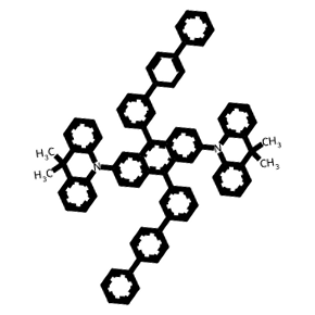 CC1(C)c2ccccc2N(c2ccc3c(-c4cccc(C5C=CC(c6ccccc6)=CC5)c4)c4cc(N5c6ccccc6C(C)(C)c6ccccc65)ccc4c(-c4cccc(-c5ccc(-c6ccccc6)cc5)c4)c3c2)c2ccccc21